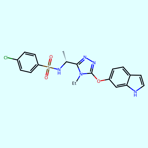 CCn1c(Oc2ccc3cc[nH]c3c2)nnc1[C@@H](C)NS(=O)(=O)c1ccc(Cl)cc1